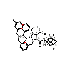 Cc1cccc(CN(Cc2cccc(CN3O[C@@H](CO)[C@@H]([C@H](C)O)[C@H]3C(=O)N[C@H]3C[C@H]4C[C@@H]([C@@H]3C)C4(C)C)c2)[C@H](CN(C)C)c2ccccc2)c1